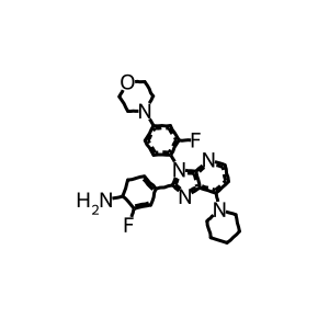 NC1CC=C(c2nc3c(N4CCCCC4)ccnc3n2-c2ccc(N3CCOCC3)cc2F)C=C1F